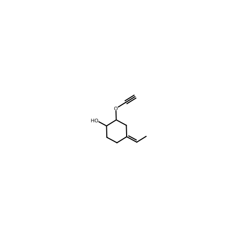 C#COC1C/C(=C\C)CCC1O